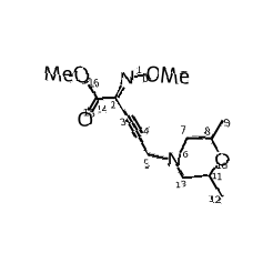 CON=C(C#CCN1CC(C)OC(C)C1)C(=O)OC